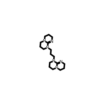 C1CN=C2N(C1)CCCN2CCCN1CCCN2CCCN=C21